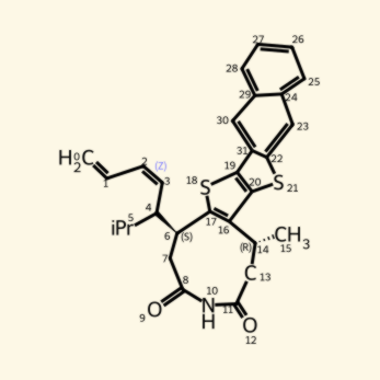 C=C/C=C\C(C(C)C)[C@@H]1CC(=O)NC(=O)C[C@@H](C)c2c1sc1c2sc2cc3ccccc3cc21